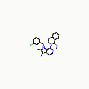 CCC1c2ccccc2CCN1c1nccc2c(C)c(C)n(Cc3cccc(F)c3)c12